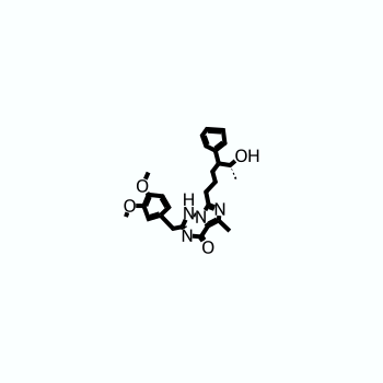 COc1ccc(Cc2nc(=O)c3c(C)nc(CCCC(c4ccccc4)[C@@H](C)O)n3[nH]2)cc1OC